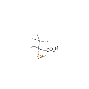 CC(C)(C)C(C)(S)C(=O)O